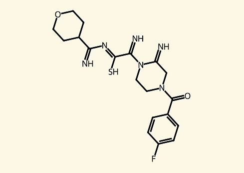 N=C(/N=C(\S)C(=N)N1CCN(C(=O)c2ccc(F)cc2)CC1=N)C1CCOCC1